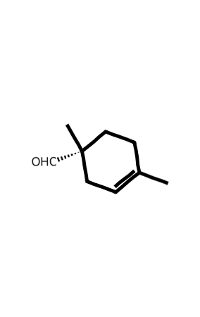 CC1=CC[C@](C)(C=O)CC1